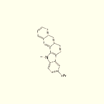 CCCc1ccc2c(c1)c1ccc3cc4ccccc4cc3c1n2C